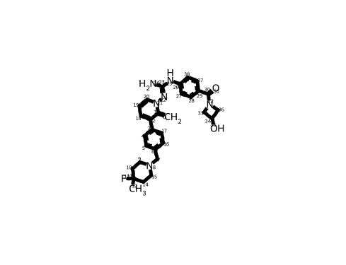 C=C1C(c2ccc(CN3CCC(C)(F)CC3)cc2)=CC=CN1/N=C(\N)Nc1ccc(C(=O)N2CC(O)C2)cc1